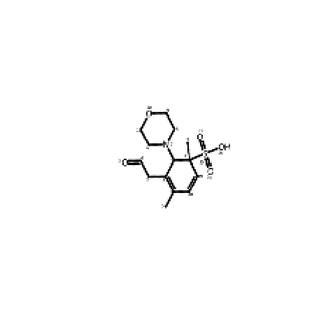 CC1=C(CC=O)C(N2CCOCC2)[C@](C)(S(=O)(=O)O)C=C1